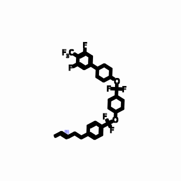 C/C=C/CCc1ccc(C(F)(F)OC2CCC(C(F)(F)OC3CCC(c4cc(F)c(C(F)(F)F)c(F)c4)CC3)CC2)cc1